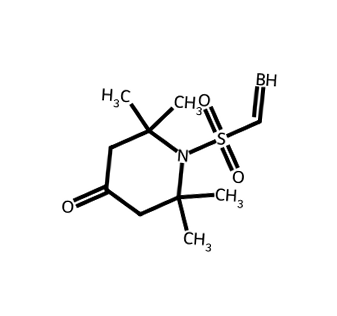 B=CS(=O)(=O)N1C(C)(C)CC(=O)CC1(C)C